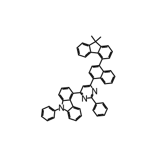 CC1(C)c2ccccc2-c2c(-c3ccc(-c4cc(-c5cccc6c5c5ccccc5n6-c5ccccc5)nc(-c5ccccc5)n4)c4ccccc34)cccc21